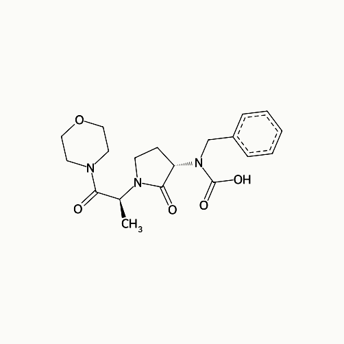 C[C@@H](C(=O)N1CCOCC1)N1CC[C@H](N(Cc2ccccc2)C(=O)O)C1=O